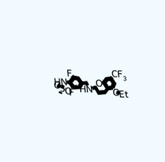 CCOc1cc(C(F)(F)F)ccc1/C=C\C(=O)NCc1cc(F)c(NS(C)(=O)=O)c(F)c1